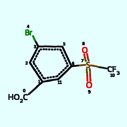 O=C(O)c1cc(Br)cc(S(=O)(=O)C(F)(F)F)c1